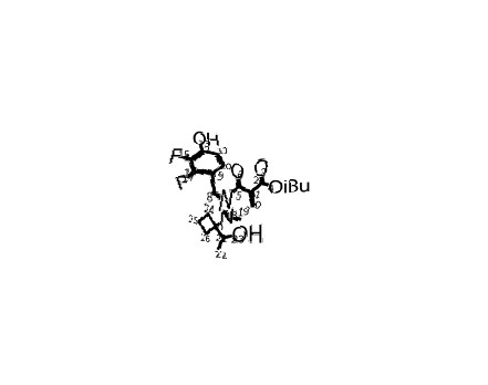 C=C(C(=O)OCC(C)C)C(=O)N(Cc1ccc(O)c(F)c1F)N(C)C1(C(C)O)CCC1